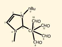 CCCCN1C=CN(C)[CH]1[Co]([CH]=O)([CH]=O)([CH]=O)[CH]=O